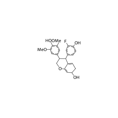 COc1cc(C2COC3=CC(O)CC=C3C2c2ccc(O)c(F)c2)cc(OC)c1O